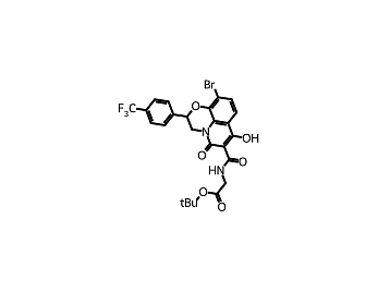 CC(C)(C)OC(=O)CNC(=O)c1c(O)c2ccc(Br)c3c2n(c1=O)CC(c1ccc(C(F)(F)F)cc1)O3